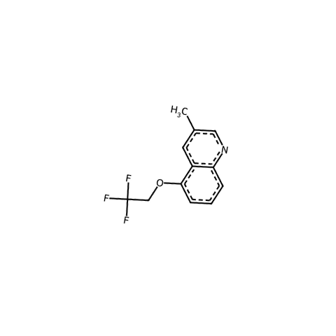 Cc1cnc2cccc(OCC(F)(F)F)c2c1